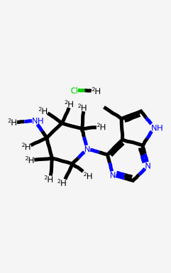 [2H]Cl.[2H]NC1([2H])C([2H])([2H])C([2H])([2H])N(c2ncnc3[nH]cc(C)c23)C([2H])([2H])C1([2H])[2H]